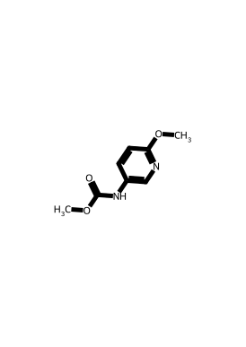 COC(=O)Nc1ccc(OC)nc1